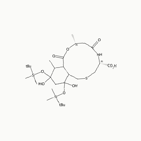 CC1C2C(=O)O[C@H](C)CC(=O)N[C@H](C(=O)O)CSCC2C(O)(O[Si](C)(C)C(C)(C)C)CC1(O)O[Si](C)(C)C(C)(C)C